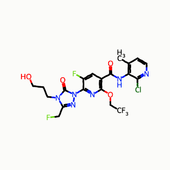 Cc1ccnc(Cl)c1NC(=O)c1cc(F)c(-n2nc(CF)n(CCCO)c2=O)nc1OCC(F)(F)F